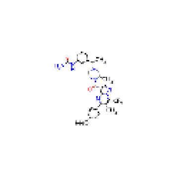 C=C(c1cccc(NC(N)=O)c1)N1CCN(C(=O)c2cnn3c(C(F)(F)F)c(C)c(-c4ccc(OC)cc4)nc23)[C@H](C)C1